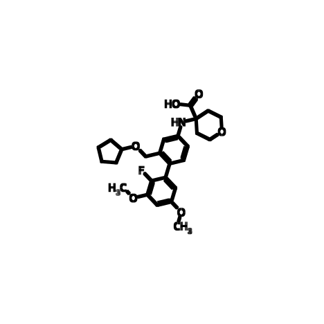 COc1cc(OC)c(F)c(-c2ccc(NC3(C(=O)O)CCOCC3)cc2COC2CCCC2)c1